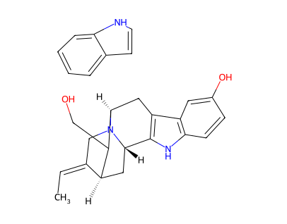 C/C=C1/CN2[C@H]3C[C@@H]1C(CO)[C@@H]2Cc1c3[nH]c2ccc(O)cc12.c1ccc2[nH]ccc2c1